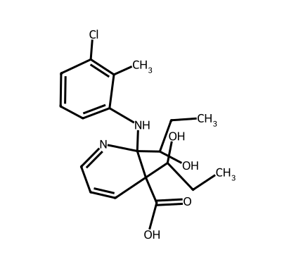 CCC(O)C1(Nc2cccc(Cl)c2C)N=CC=CC1(C(=O)O)C(O)CC